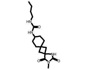 CCCCNC(=O)NC1CCC2(CC1)CC1(C2)NC(=O)N(C)C1=O